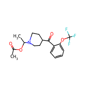 CC(=O)OC(C)N1CCC(C(=O)c2ccccc2OC(F)(F)F)CC1